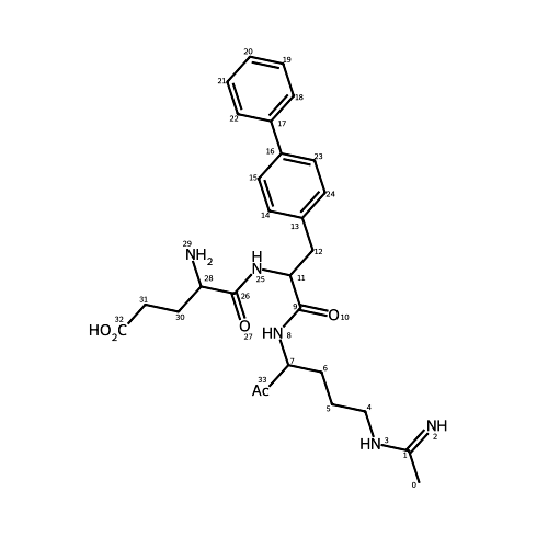 CC(=N)NCCCC(NC(=O)C(Cc1ccc(-c2ccccc2)cc1)NC(=O)C(N)CCC(=O)O)C(C)=O